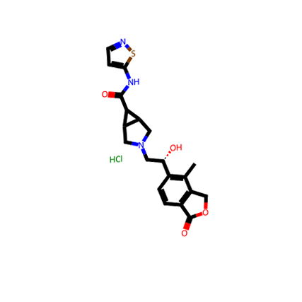 Cc1c([C@@H](O)CN2CC3C(C2)C3C(=O)Nc2ccns2)ccc2c1COC2=O.Cl